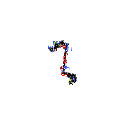 CN(CC(=O)NCCCOCCOCCOCCCNC(=O)CN(C)C(=O)CC(C)(C)CC(=O)Nc1c(F)cc(C(=O)Nc2nccs2)cc1F)C(=O)COc1ccc(-c2ccc3n2[B-](F)(F)[N+]2=C(c4cccs4)C=CC2=C3)cc1